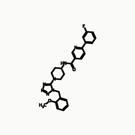 COc1ccccc1Cn1nnnc1N1CCC(NC(=O)c2ccc(-c3cccc(F)c3)nc2)CC1